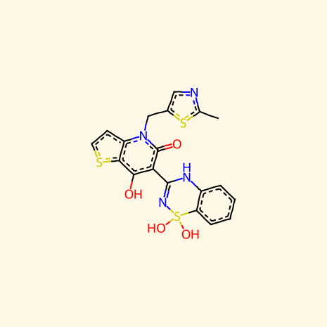 Cc1ncc(Cn2c(=O)c(C3=NS(O)(O)c4ccccc4N3)c(O)c3sccc32)s1